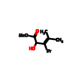 COC(=O)C(O)C(=C(C)C)C(C)C